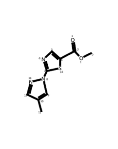 COC(=O)c1cnc(-n2cc(C)cn2)s1